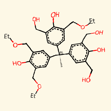 CCOCc1cc([C@@](C)(c2cc(CO)c(O)c(CO)c2)c2cc(COCC)c(O)c(COCC)c2)cc(CO)c1O